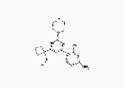 CCSC1(c2cc(-c3cnc(N)cc3C(F)(F)F)nc(N3CCOCC3)n2)CCC1